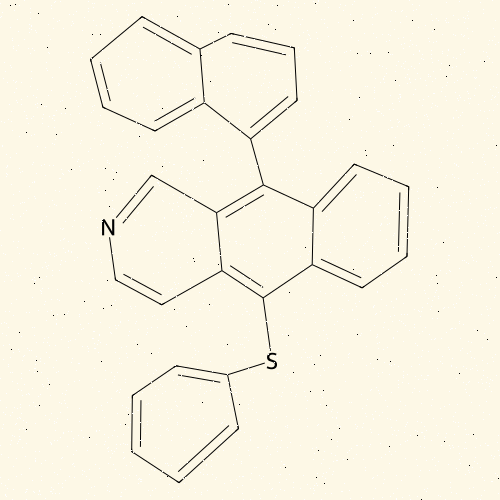 c1ccc(Sc2c3ccccc3c(-c3cccc4ccccc34)c3cnccc23)cc1